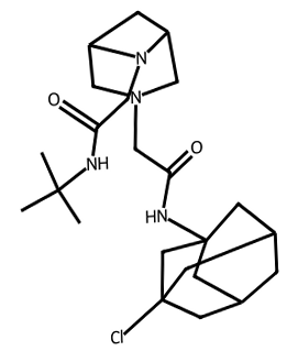 CC(C)(C)NC(=O)CN1C2CC1CN(CC(=O)NC13CC4CC(CC(Cl)(C4)C1)C3)C2